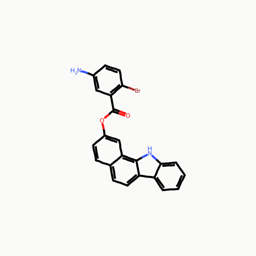 Nc1ccc(Br)c(C(=O)Oc2ccc3ccc4c5ccccc5[nH]c4c3c2)c1